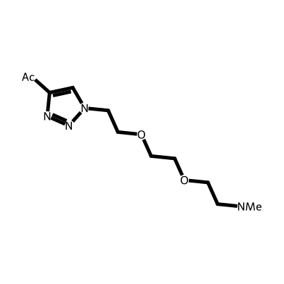 CNCCOCCOCCn1cc(C(C)=O)nn1